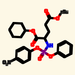 CCCCOC(=O)CCC(NP(=O)(Oc1ccccc1)Oc1ccc([N+](=O)[O-])cc1)C(=O)OC1CCCCC1